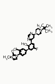 Cn1ccn(-c2ccc(-c3cc(F)cc(-c4cc(N5CCN(C(C)(C)C)CC5)ncn4)c3O)cc2Cl)c1=O